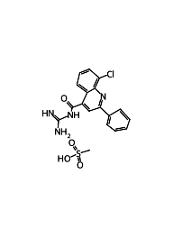 CS(=O)(=O)O.N=C(N)NC(=O)c1cc(-c2ccccc2)nc2c(Cl)cccc12